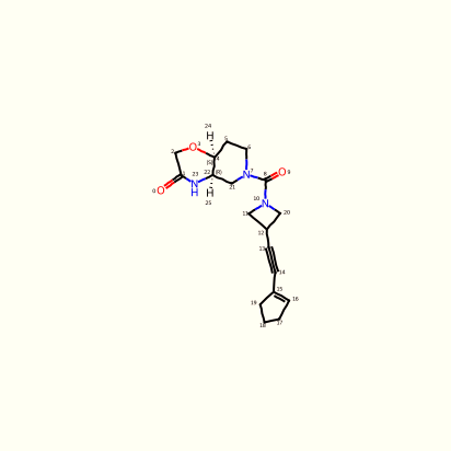 O=C1CO[C@H]2CCN(C(=O)N3CC(C#CC4=CCCC4)C3)C[C@H]2N1